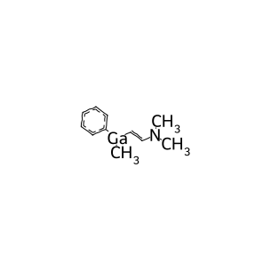 CN(C)C=[CH][Ga]([CH3])[c]1ccccc1